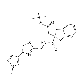 Cn1cc(-c2csc(CNC(=O)C3(CC(=O)OC(C)(C)C)Cc4ccccc4C3)n2)cn1